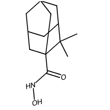 CC1(C)C2CC3CC(C2)CC1(C(=O)NO)C3